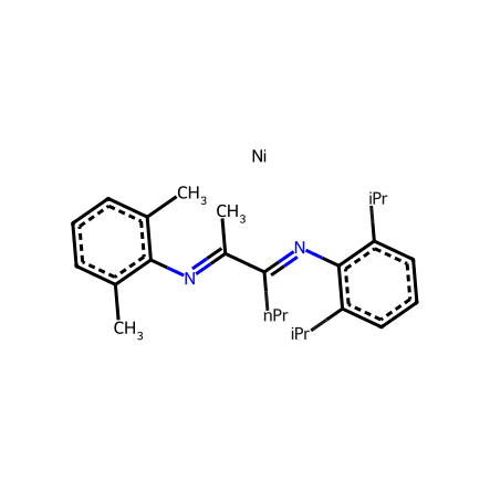 CCCC(=Nc1c(C(C)C)cccc1C(C)C)C(C)=Nc1c(C)cccc1C.[Ni]